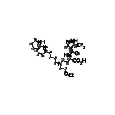 CCOCCN(CCCCc1ccc2c(n1)NCCC2)CCC(NC(=O)c1cn[nH]c1C(F)(F)F)C(=O)O